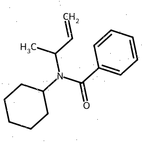 C=CC(C)N(C(=O)c1ccccc1)C1CCCCC1